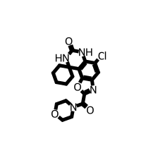 O=C1Nc2c(Cl)cc3nc(C(=O)N4CCOCC4)oc3c2C2(CCCCC2)N1